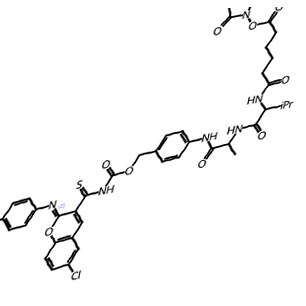 COc1ccc(/N=c2\oc3ccc(Cl)cc3cc2C(=S)NC(=O)OCc2ccc(NC(=O)C(C)NC(=O)C(NC(=O)CCCCC(=O)ON3C(=O)CCC3=O)C(C)C)cc2)cc1